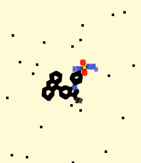 CC(C)c1cn(-c2ccc(NS(N)(=O)=O)cc2)c2cc(-c3c4ccccc4cc4ccccc34)ccc12